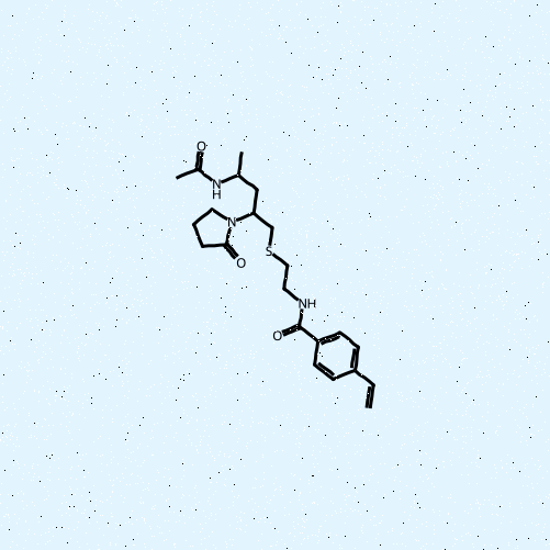 C=Cc1ccc(C(=O)NCCSCC(CC(C)NC(C)=O)N2CCCC2=O)cc1